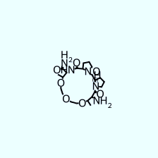 CC1OCCOCCOC(C)C(C(N)=O)NC(=O)C2CCCN2C(=O)[C@@H]2CCCN2C(=O)C1N